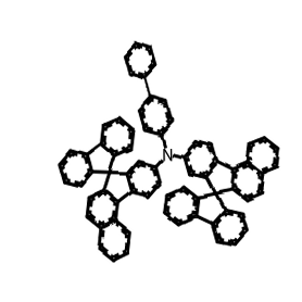 c1ccc(-c2ccc(N(c3ccc4c(c3)C3(c5ccccc5-c5ccccc53)c3ccc5ccccc5c3-4)c3ccc4c(c3)C3(c5ccccc5-c5ccccc53)c3ccc5ccccc5c3-4)cc2)cc1